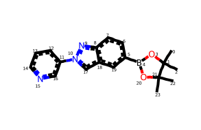 CC1(C)OB(c2ccc3nn(-c4cccnc4)cc3c2)OC1(C)C